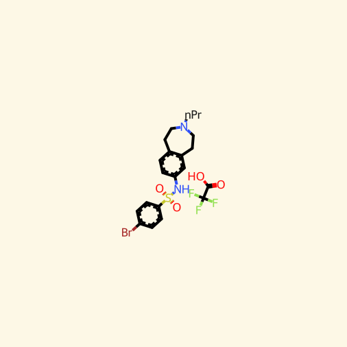 CCCN1CCc2ccc(NS(=O)(=O)c3ccc(Br)cc3)cc2CC1.O=C(O)C(F)(F)F